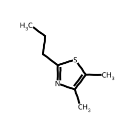 CCCc1nc(C)c(C)s1